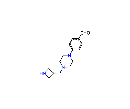 O=Cc1ccc(N2CCN(CC3CNC3)CC2)cc1